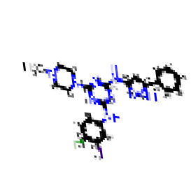 CN1CCN(c2nc(Nc3ccc(F)c(I)c3)nc(Nc3cc(-c4ccccc4)[nH]n3)n2)CC1